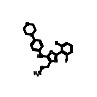 NOCc1nc(-c2c(F)cccc2F)oc1Nc1ccc(N2CCOCC2)cc1